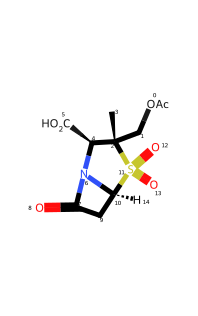 CC(=O)OC[C@@]1(C)[C@H](C(=O)O)N2C(=O)C[C@@H]2S1(=O)=O